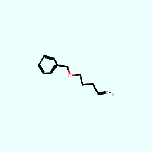 C=CCCCOCc1ccccc1